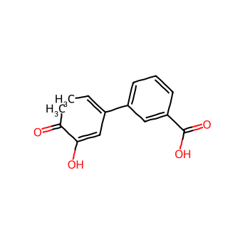 C/C=C(\C=C(\O)C(C)=O)c1cccc(C(=O)O)c1